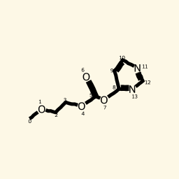 COCCOC(=O)Oc1ccncn1